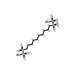 CCC(C)S(=O)(=O)S(=O)(=O)CCCCCCCCCCS(=O)(=O)S(=O)(=O)C(C)CC